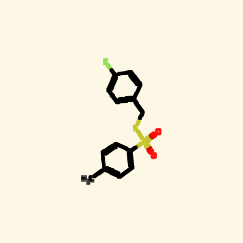 Cc1ccc(S(=O)(=O)SCc2ccc(F)cc2)cc1